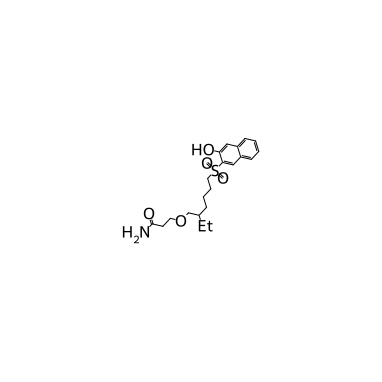 CCC(CCCCS(=O)(=O)c1cc2ccccc2cc1O)COCCC(N)=O